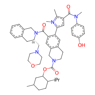 Cc1c(C(=O)N(C)c2ccc(O)cc2)cc(-c2cc3c(cc2C(=O)N2Cc4ccccc4C[C@H]2CN2CCOCC2)CN(C(=O)OC2CC(C)CCC2C(C)C)CC3)n1C